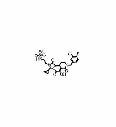 CCS(=O)(=O)NCCN1C(=O)c2c3c(c(O)c(=O)n2C1C1CC1)C(=O)N(Cc1ccc(F)c(Cl)c1)CC3